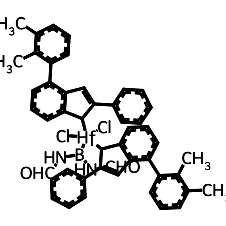 Cc1cccc(-c2cccc3c2C=C(c2ccccc2)[CH]3[Hf]([Cl])([Cl])([B](NC=O)NC=O)[CH]2C(c3ccccc3)=Cc3c(-c4cccc(C)c4C)cccc32)c1C